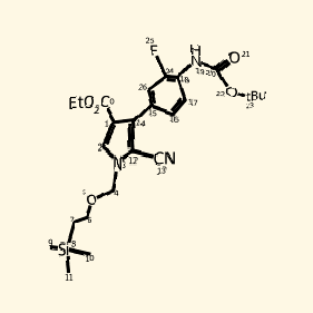 CCOC(=O)c1cn(COCC[Si](C)(C)C)c(C#N)c1-c1ccc(NC(=O)OC(C)(C)C)c(F)c1